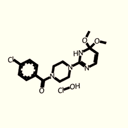 COC1(OC)C=CN=C(N2CCN(C(=O)c3ccc(Cl)cc3)CC2)N1.OCl